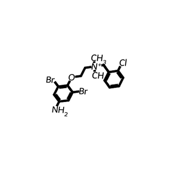 C[N+](C)(CCOc1c(Br)cc(N)cc1Br)Cc1ccccc1Cl